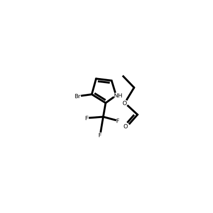 CCOC=O.FC(F)(F)c1[nH]ccc1Br